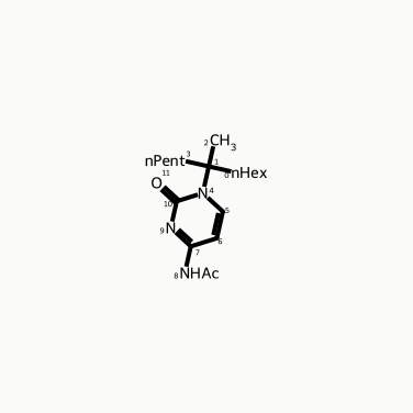 CCCCCCC(C)(CCCCC)n1ccc(NC(C)=O)nc1=O